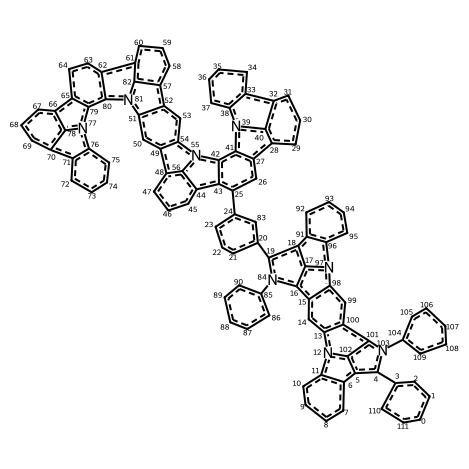 c1ccc(-c2c3c4ccccc4n4c5cc6c7c8c(c(-c9cccc(-c%10cc%11c%12cccc%13c%14ccccc%14n(c%13%12)c%11c%11c%10c%10cccc%12c%13cc%14c(cc%13n%11c%12%10)c%10cccc%11c%12ccc%13c%15cccc%16c%17ccccc%17n(c%16%15)c%13c%12n%14c%10%11)c9)n7-c7ccccc7)c7ccccc7n8c6cc5c(c34)n2-c2ccccc2)cc1